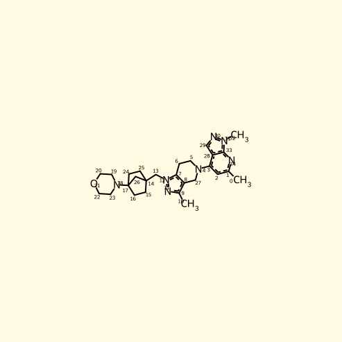 Cc1cc(N2CCc3c(c(C)nn3CC34CCC(N5CCOCC5)(CC3)C4)C2)c2cnn(C)c2n1